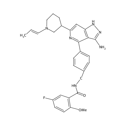 CC=CN1CCCC(c2cc3[nH]nc(N)c3c(-c3ccc(CNC(=O)c4cc(F)ccc4OC)cc3)n2)C1